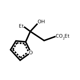 CCOC(=O)CC(O)(CC)c1ccco1